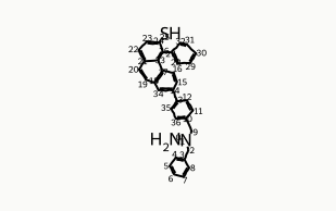 NN(Cc1ccccc1)Cc1ccc(-c2ccc3c(ccc4ccc(S)c(-c5ccccc5)c43)c2)cc1